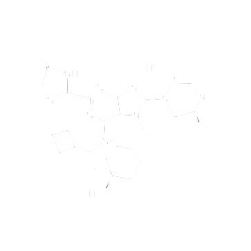 C[C@@H]1CN[C@@H](C)CN1c1nc2nc(-c3noc(=O)[nH]3)nc(N[C@H](C)C3CCC3)c2n1C[C@H]1CC[C@H](C)CC1